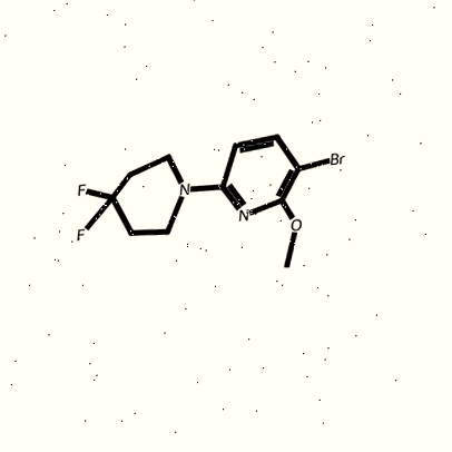 COc1nc(N2CCC(F)(F)CC2)ccc1Br